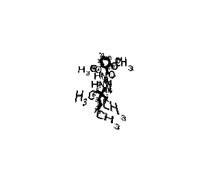 CCCCC(CC)(CC)c1nnc(NC(=O)c2c(OC)cccc2OC)[nH]1